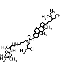 CCC(CCCC1CCC2C3CC=C4CC(OC(=O)N(CCCCNCCC(C)NC(=O)OC(C)(C)C)CCC(C)C)CCC4(C)C3CCC12C)C(C)C